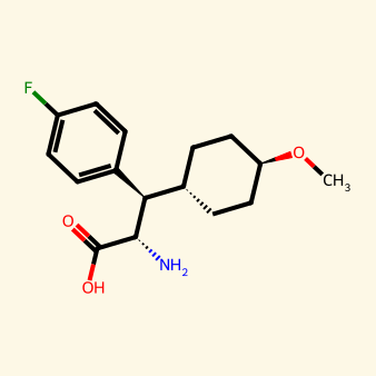 CO[C@H]1CC[C@H]([C@H](c2ccc(F)cc2)[C@H](N)C(=O)O)CC1